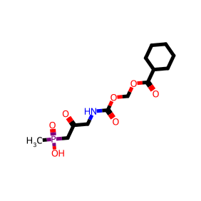 CP(=O)(O)CC(=O)CNC(=O)OCOC(=O)C1CCCCC1